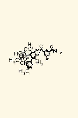 Cc1ccc(-c2c(C)c3c(c(C)c2[C@H](OC(C)(C)C)C(=O)O)CN(C(=O)c2cc(F)cc(C(N)=O)c2)C3)cc1